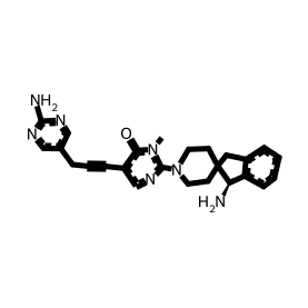 Cn1c(N2CCC3(CC2)Cc2ccccc2[C@H]3N)ncc(C#CCc2cnc(N)nc2)c1=O